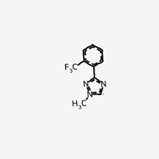 Cn1[c]nc(-c2ccccc2C(F)(F)F)n1